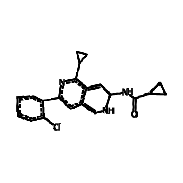 O=C(NC1C=c2c(C3CC3)nc(-c3ccccc3Cl)cc2=CN1)C1CC1